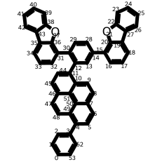 c1ccc(-c2ccc3ccc4c(-c5cc(-c6cccc7c6oc6ccccc67)ccc5-c5cccc6c5oc5ccccc56)ccc5ccc2c3c54)cc1